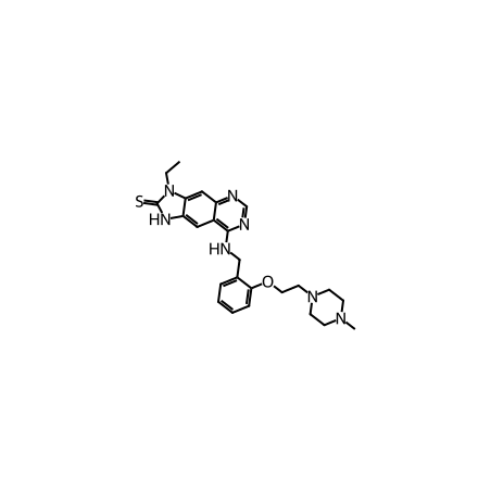 CCn1c(=S)[nH]c2cc3c(NCc4ccccc4OCCN4CCN(C)CC4)ncnc3cc21